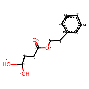 O=C(CCC(O)O)OCCc1ccccc1